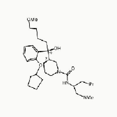 CNCC(CC(C)C)NC(=O)N1CCC[C@@H]([C@@](O)(CCCCOC)c2ccccc2OC2CCCC2)C1